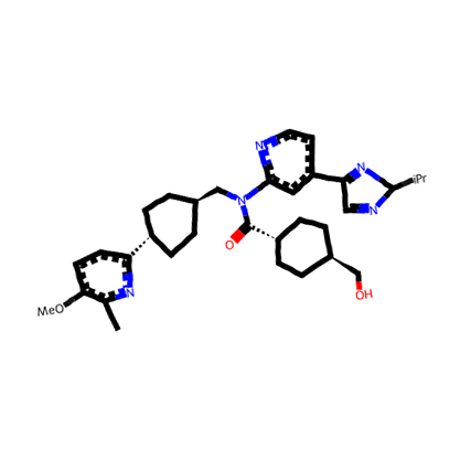 COc1ccc([C@H]2CC[C@H](CN(c3cc(C4=NC(C(C)C)N=C4)ccn3)C(=O)[C@H]3CC[C@H](CO)CC3)CC2)nc1C